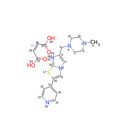 CN1CCN(Cc2cn3cc(-c4ccncc4)sc3n2)CC1.O=C(O)/C=C\C(=O)O